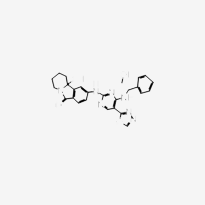 CC12CCCCN1C(=O)c1ccc(Nc3ncc(-c4nnco4)c(N[C@H](CO)c4ccccc4)n3)cc12